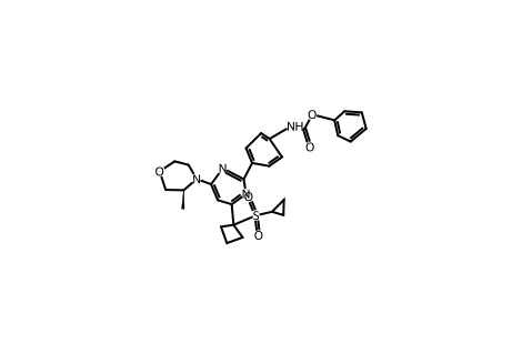 C[C@H]1COCCN1c1cc(C2(S(=O)(=O)C3CC3)CCC2)nc(-c2ccc(NC(=O)Oc3ccccc3)cc2)n1